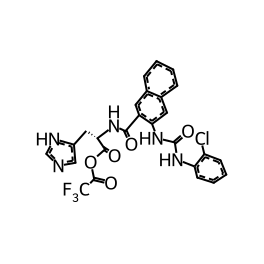 O=C(Nc1ccccc1Cl)Nc1cc2ccccc2cc1C(=O)N[C@@H](Cc1cnc[nH]1)C(=O)OC(=O)C(F)(F)F